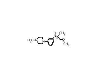 COC[C@H](C)Nc1[c]ccc(N2CCN(C)CC2)c1